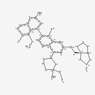 CCc1c(F)ccc2cc(O)cc(-c3ncc4c(N5CCCC(O)(CF)C5)nc(OC[C@@]56CCCN5C[C@H](F)C6)nc4c3F)c12